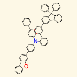 c1ccc(-c2ccc(N(c3ccc(-c4ccc5c(c4)oc4ccccc45)cc3)c3ccccc3-c3cccc(-c4ccc5c(c4)-c4ccccc4C5(c4ccccc4)c4ccccc4)c3)cc2)cc1